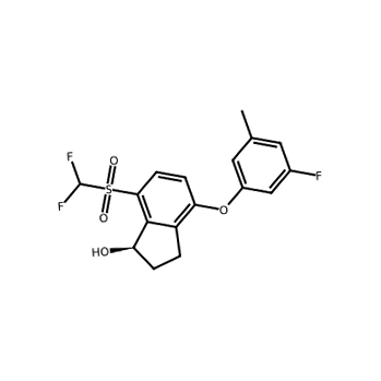 Cc1cc(F)cc(Oc2ccc(S(=O)(=O)C(F)F)c3c2CC[C@H]3O)c1